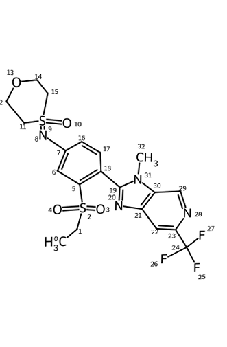 CCS(=O)(=O)c1cc(N=S2(=O)CCOCC2)ccc1-c1nc2cc(C(F)(F)F)ncc2n1C